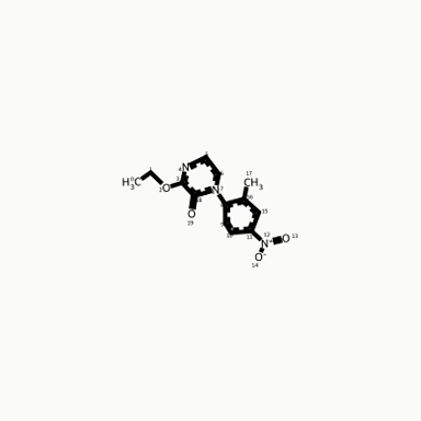 CCOc1nccn(-c2ccc([N+](=O)[O-])cc2C)c1=O